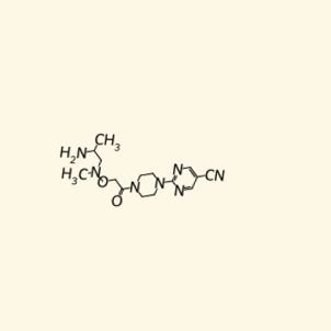 CC(N)CN(C)OCC(=O)N1CCN(c2ncc(C#N)cn2)CC1